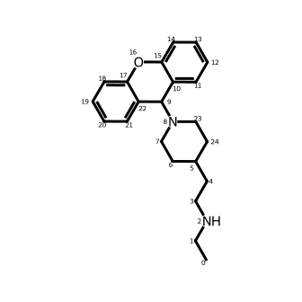 CCNCCC1CCN(C2c3ccccc3Oc3ccccc32)CC1